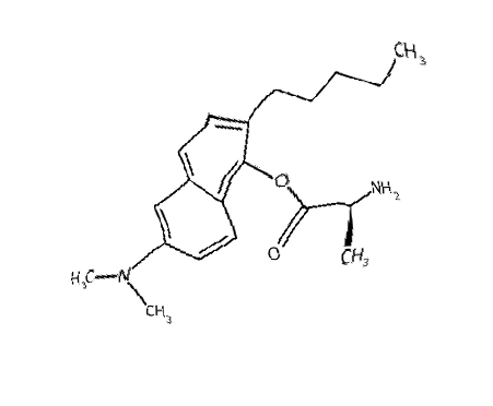 CCCCCc1ccc2cc(N(C)C)ccc2c1OC(=O)[C@H](C)N